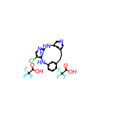 Clc1cnc2nc1Nc1cccc(c1)CCc1cncc(c1)N2.O=C(O)C(F)(F)F.O=C(O)C(F)(F)F